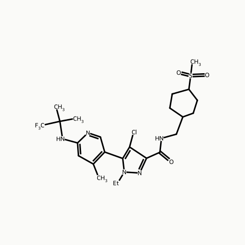 CCn1nc(C(=O)NCC2CCC(S(C)(=O)=O)CC2)c(Cl)c1-c1cnc(NC(C)(C)C(F)(F)F)cc1C